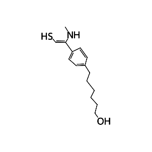 CN/C(=C\S)c1ccc(CCCCCCO)cc1